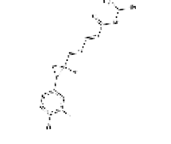 CC(C)C(C)NC(=O)/C=C/C=C/C1(F)CC1c1ccc(Cl)c(Cl)c1